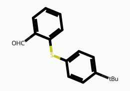 CC(C)(C)c1ccc(Sc2ccccc2C=O)cc1